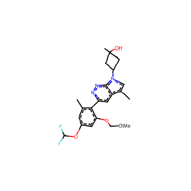 COCOc1cc(OC(F)F)cc(C)c1-c1cc2c(C)cn(C3CC(C)(O)C3)c2nn1